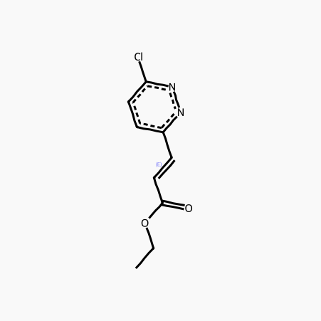 CCOC(=O)/C=C/c1ccc(Cl)nn1